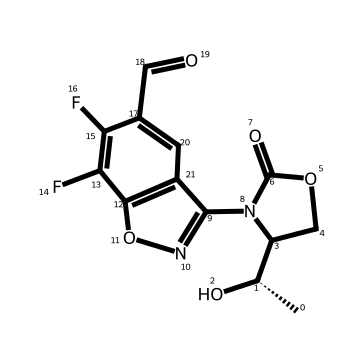 C[C@H](O)C1COC(=O)N1c1noc2c(F)c(F)c(C=O)cc12